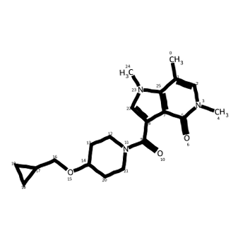 Cc1cn(C)c(=O)c2c(C(=O)N3CCC(OCC4CC4)CC3)cn(C)c12